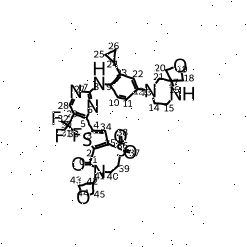 O=C1c2sc(-c3nc(Nc4ccc(N5CCNC6(COC6)C5)cc4C4CC4)ncc3C(F)(F)F)cc2S(=O)(=O)CCN1C1COC1